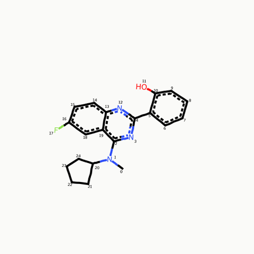 CN(c1nc(-c2ccccc2O)nc2ccc(F)cc12)C1CCCC1